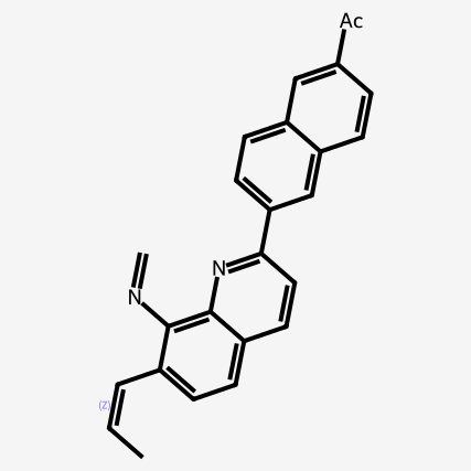 C=Nc1c(/C=C\C)ccc2ccc(-c3ccc4cc(C(C)=O)ccc4c3)nc12